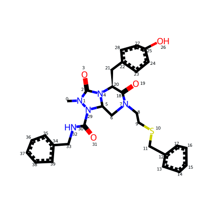 CN1C(=O)N2C(CN(CCSCc3ccccc3)C(=O)[C@@H]2Cc2ccc(O)cc2)N1C(=O)NCc1ccccc1